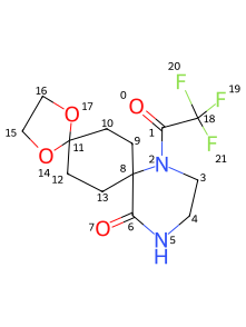 O=C(N1CCNC(=O)C12CCC1(CC2)OCCO1)C(F)(F)F